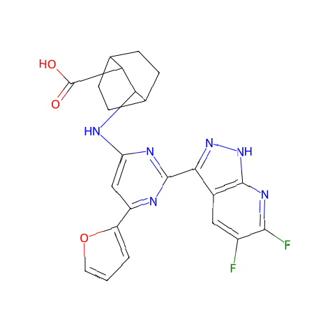 O=C(O)C1C2CCC(CC2)C1Nc1cc(-c2ccco2)nc(-c2n[nH]c3nc(F)c(F)cc23)n1